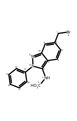 O=C(O)Nc1c2ccc(CBr)cc2nn1-c1ccccc1